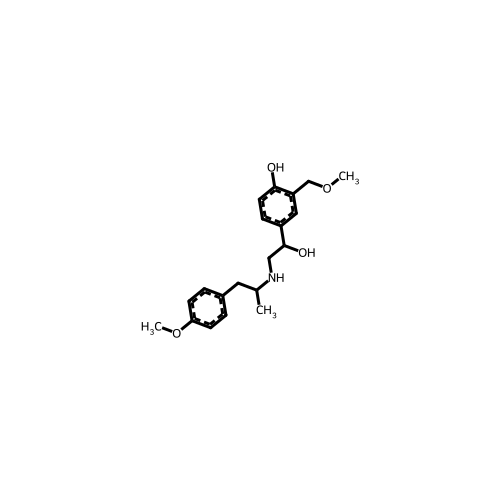 COCc1cc(C(O)CNC(C)Cc2ccc(OC)cc2)ccc1O